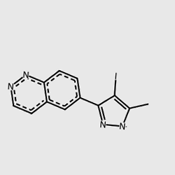 CC1=C(I)C(c2ccc3nnccc3c2)=N[N]1